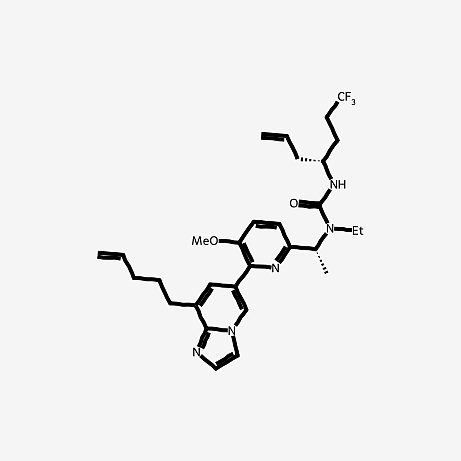 C=CCCCc1cc(-c2nc([C@@H](C)N(CC)C(=O)N[C@H](CC=C)CCC(F)(F)F)ccc2OC)cn2ccnc12